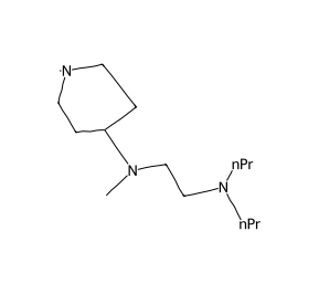 CCCN(CCC)CCN(C)C1CC[N]CC1